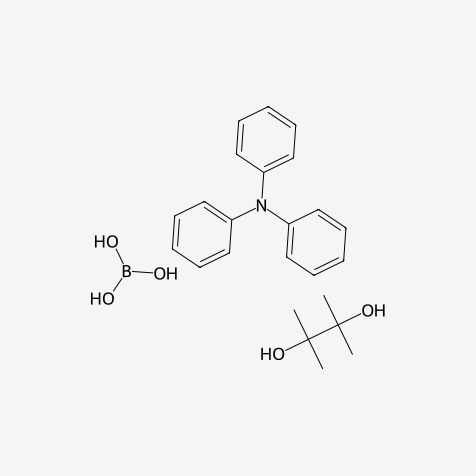 CC(C)(O)C(C)(C)O.OB(O)O.c1ccc(N(c2ccccc2)c2ccccc2)cc1